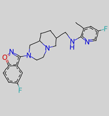 Cc1cc(F)cnc1NCC1CCC2CN(c3noc4ccc(F)cc34)CCN2C1